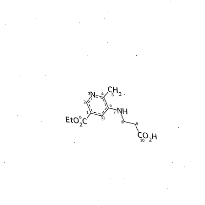 CCOC(=O)c1cnc(C)c(NCCC(=O)O)c1